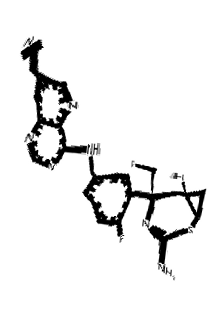 N#Cc1cnc2c(Nc3ccc(F)c([C@@]4(CF)N=C(N)SC5C[C@H]54)c3)ncnc2c1